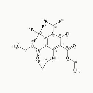 CCOC(=O)C1=C(C(F)(F)F)N(C(F)F)C(Cl)C(C(=O)OCC)=C1NC1CC1